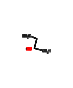 O=C(O)CCC(=O)O.[OH]